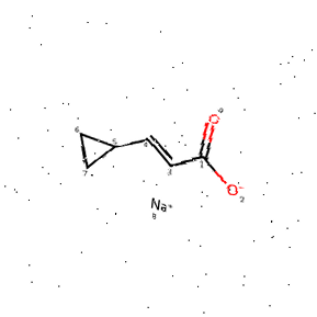 O=C([O-])C=CC1CC1.[Na+]